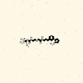 CN1CCC[C@H]1c1cncc(CCCNC(=O)COCCNC(=O)OC(C)(C)C)c1